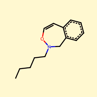 CCCCCN1Cc2ccccc2C=CO1